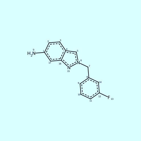 Nc1ccc2cn(Cc3cccc(F)c3)nc2c1